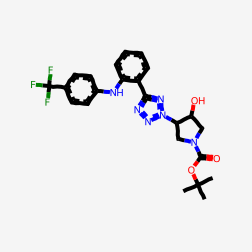 CC(C)(C)OC(=O)N1CC(O)C(n2nnc(-c3ccccc3Nc3ccc(C(F)(F)F)cc3)n2)C1